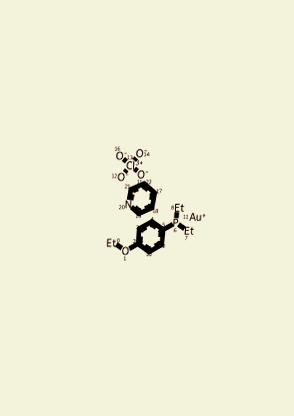 CCOc1ccc(P(CC)CC)cc1.[Au+].[O-][Cl+3]([O-])([O-])[O-].c1ccncc1